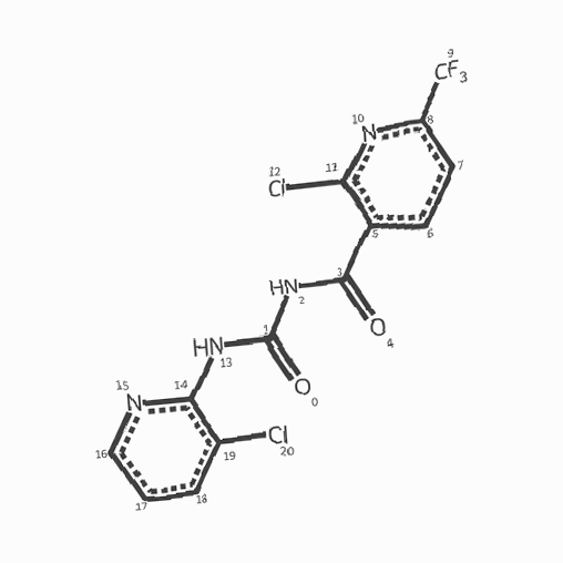 O=C(NC(=O)c1ccc(C(F)(F)F)nc1Cl)Nc1ncccc1Cl